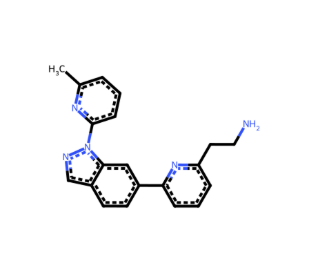 Cc1cccc(-n2ncc3ccc(-c4cccc(CCN)n4)cc32)n1